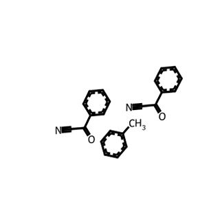 Cc1ccccc1.N#CC(=O)c1ccccc1.N#CC(=O)c1ccccc1